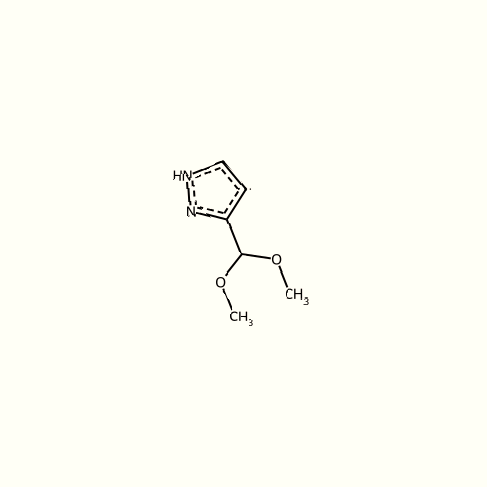 COC(OC)c1[c]c[nH]n1